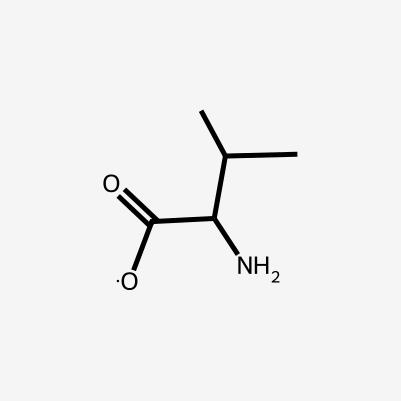 CC(C)C(N)C([O])=O